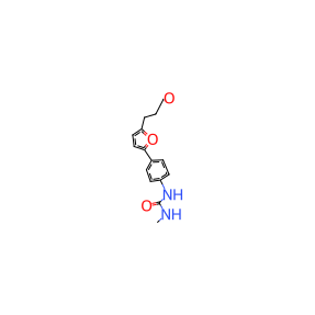 CNC(=O)Nc1ccc(-c2ccc(CCC=O)o2)cc1